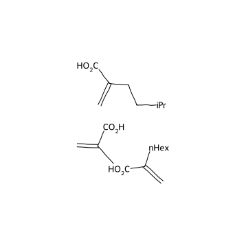 C=C(C)C(=O)O.C=C(CCC(C)C)C(=O)O.C=C(CCCCCC)C(=O)O